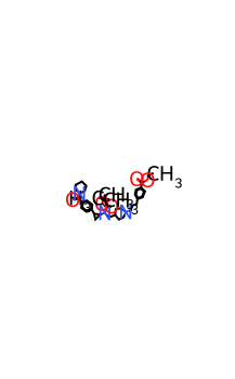 CCOC(=O)c1ccc(CCCN2CCC(CN(C(=O)OC(C)(C)C)C3CC3c3ccc(C(=O)N4CCCCC4)cc3)CC2)cc1